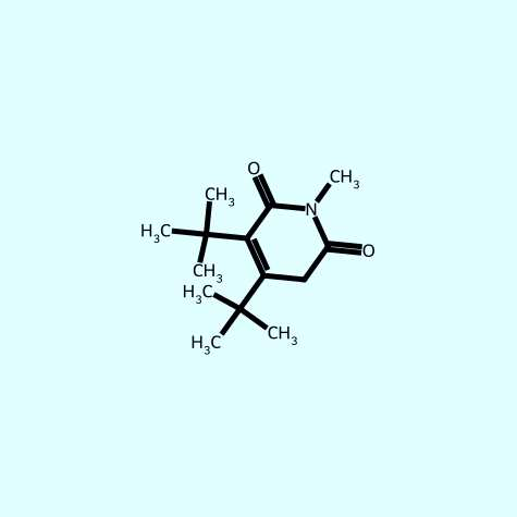 CN1C(=O)CC(C(C)(C)C)=C(C(C)(C)C)C1=O